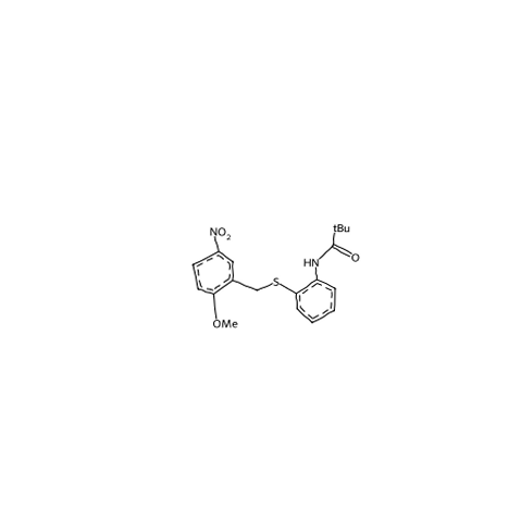 COc1ccc([N+](=O)[O-])cc1CSc1ccccc1NC(=O)C(C)(C)C